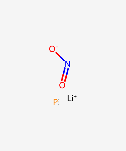 O=N[O-].[Li+].[P]